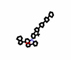 CC1(C)c2cc(-c3ccc(-c4ccc(-c5ccccc5)cc4)cc3)ccc2-c2ccc(N(c3ccc(-c4cccc5ccccc45)cc3)c3ccccc3-c3ccccc3)cc21